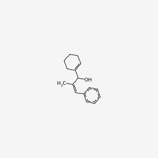 CC(=Cc1ccccc1)C(O)C1=CCCCC1